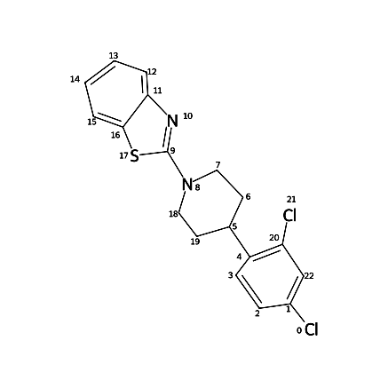 Clc1ccc(C2CCN(c3nc4ccccc4s3)CC2)c(Cl)c1